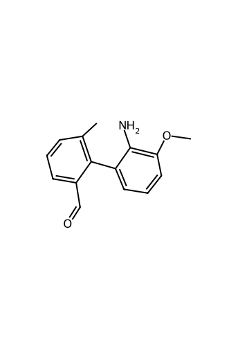 COc1cccc(-c2c(C)cccc2C=O)c1N